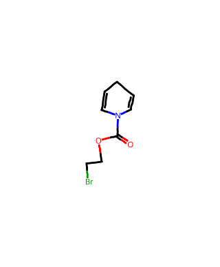 O=C(OCCBr)N1C=CCC=C1